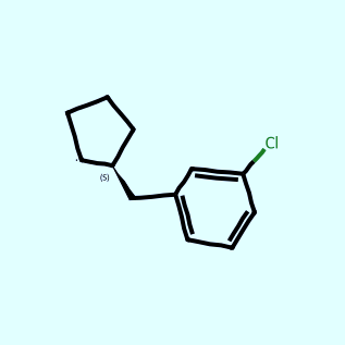 Clc1cccc(C[C@H]2[CH]CCC2)c1